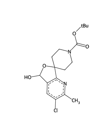 Cc1nc2c(cc1Cl)C(O)OC21CCN(C(=O)OC(C)(C)C)CC1